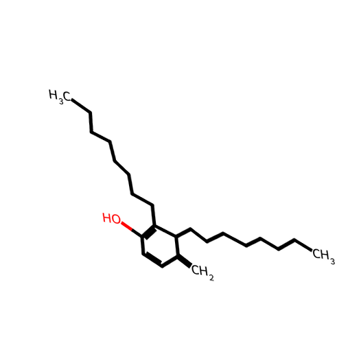 C=C1C=CC(O)=C(CCCCCCCC)C1CCCCCCCC